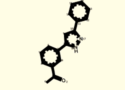 CC(=O)c1cccc(-c2cc(-c3ccccc3)n[nH]2)c1